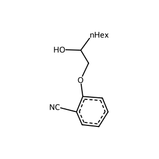 CCCCCCC(O)COc1ccccc1C#N